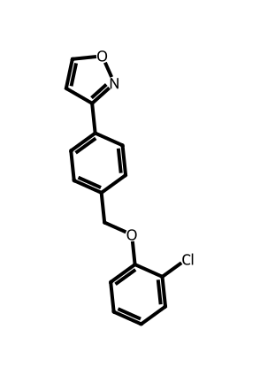 Clc1ccccc1OCc1ccc(-c2ccon2)cc1